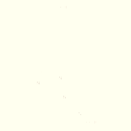 Cc1cc(-c2ccc3ncc(N4CCN(C(=O)O)CC4)nc3c2)cc(C)c1O